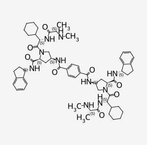 CN[C@@H](C)C(=O)N[C@H](C(=O)N1C[C@@H](NC(=O)c2ccc(C(=O)N[C@H]3C[C@@H](C(=O)N[C@H]4CCc5ccccc54)N(C(=O)[C@@H](NC(=O)[C@H](C)NC)C4CCCCC4)C3)cc2)C[C@H]1C(=O)N[C@H]1CCc2ccccc21)C1CCCCC1